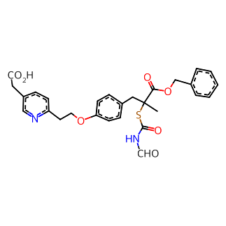 CC(Cc1ccc(OCCc2ccc(CC(=O)O)cn2)cc1)(SC(=O)NC=O)C(=O)OCc1ccccc1